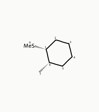 CS[C@@H]1CCCC[C@@H]1C